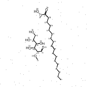 CCCCCCCCCCCCCCCCCC(=O)OO.CO[C@@H](C=O)[C@@H](O)[C@H](O)[C@H](O)CO